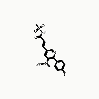 CC(C)N(C)c1cc(/C=C/C(=O)NS(C)(=O)=O)cnc1-c1ccc(F)cc1